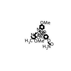 COc1ccc2c(c1)nc([S+]([O-])Cc1ncc(C)c(OC)c1C)n2S(=O)(=O)c1ccc(OCC(N)=O)cc1